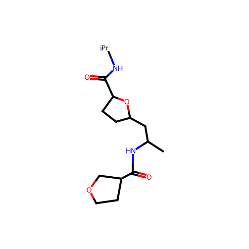 CC(C)NC(=O)C1CCC(CC(C)NC(=O)C2CCOC2)O1